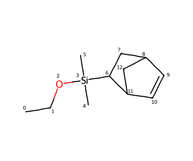 CCO[Si](C)(C)C1CC2C=CC1C2